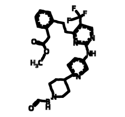 COC(=O)Cc1ccccc1CCc1nc(Nc2ccc(C3CCN(BC=O)CC3)nc2)ncc1C(F)(F)F